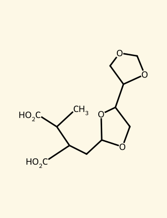 CC(C(=O)O)C(CC1OCC(C2COCO2)O1)C(=O)O